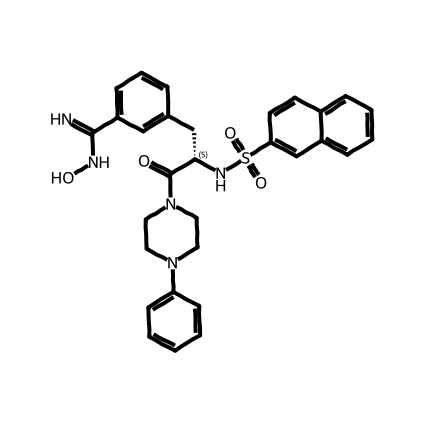 N=C(NO)c1cccc(C[C@H](NS(=O)(=O)c2ccc3ccccc3c2)C(=O)N2CCN(c3ccccc3)CC2)c1